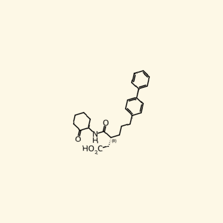 O=C(O)C[C@@H](CCCc1ccc(-c2ccccc2)cc1)C(=O)NC1CCCCC1=O